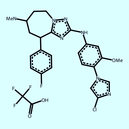 CNC1CCn2nc(Nc3ccc(-n4cnc(Cl)c4)c(OC)c3)nc2C(c2ccc(F)cc2)C1.O=C(O)C(F)(F)F